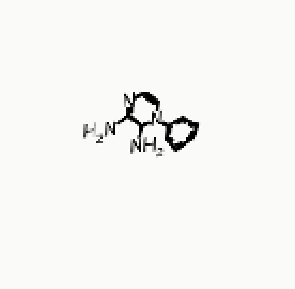 NC1=NC=CN(c2ccccc2)C1N